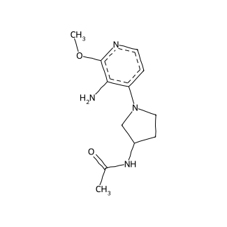 COc1nccc(N2CCC(NC(C)=O)C2)c1N